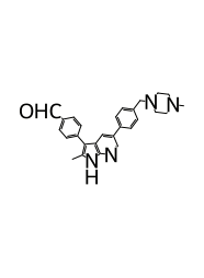 Cc1[nH]c2ncc(-c3ccc(CN4CCN(C)CC4)cc3)cc2c1-c1ccc(C=O)cc1